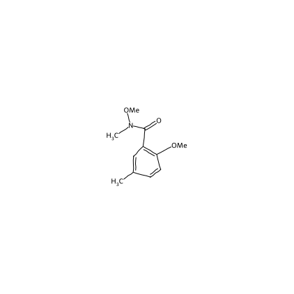 COc1ccc(C)cc1C(=O)N(C)OC